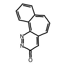 O=c1cc2cccc3ccccc3c-2nn1